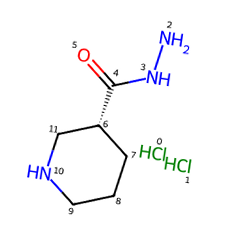 Cl.Cl.NNC(=O)[C@@H]1CCCNC1